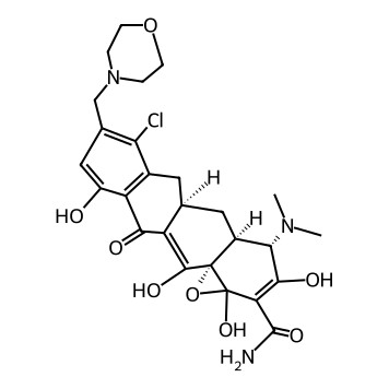 CN(C)[C@@H]1C(O)=C(C(N)=O)C2(O)O[C@@]23C(O)=C2C(=O)c4c(O)cc(CN5CCOCC5)c(Cl)c4C[C@H]2C[C@@H]13